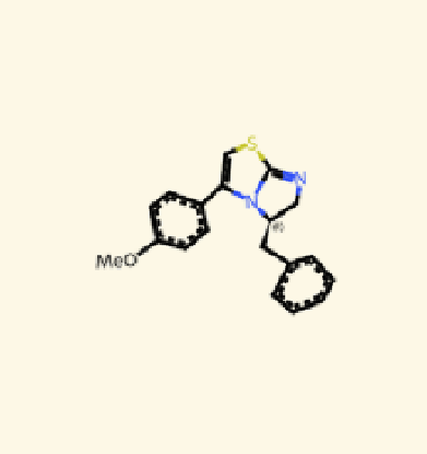 COc1ccc(C2=CSC3=NC[C@@H](Cc4ccccc4)N23)cc1